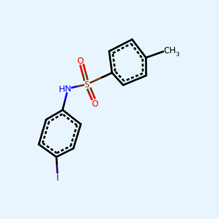 Cc1ccc(S(=O)(=O)Nc2ccc(I)cc2)cc1